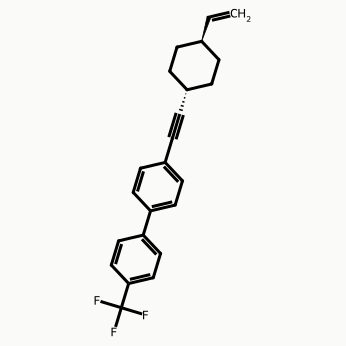 C=C[C@H]1CC[C@H](C#Cc2ccc(-c3ccc(C(F)(F)F)cc3)cc2)CC1